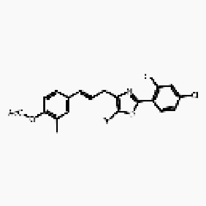 CC(=O)OOc1ccc(/C=C/Cc2nc(-c3ccc(Cl)cc3Cl)oc2C(C)C)cc1C